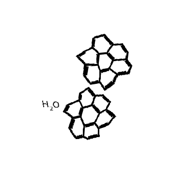 O.c1cc2ccc3ccc4ccc5ccc6ccc1c1c2c3c4c5c61.c1cc2ccc3ccc4ccc5ccc6ccc1c1c2c3c4c5c61